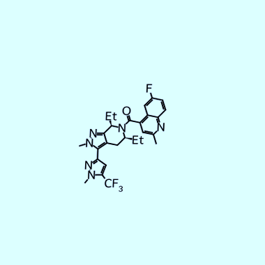 CC[C@H]1Cc2c(nn(C)c2-c2cc(C(F)(F)F)n(C)n2)[C@@H](CC)N1C(=O)c1cc(C)nc2ccc(F)cc12